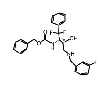 O=C(N[C@@H]([C@@H](O)CNCc1cccc(I)c1)C(F)(F)c1ccccc1)OCc1ccccc1